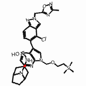 Cc1noc(Cn2cc3c(Cl)c(-c4cn(COCC[Si](C)(C)C)c5nc(N6C7CCC6CC(NC(=O)O)C7)cnc45)ccc3n2)n1